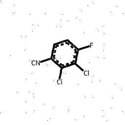 [C-]#[N+]c1ccc(F)c(Cl)c1Cl